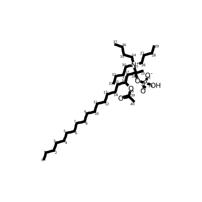 CCCCCCCCCCCCCCCCC(CC(C)(OP(=O)([O-])O)[N+](CCCC)(CCCC)CCCC)OC(C)=O